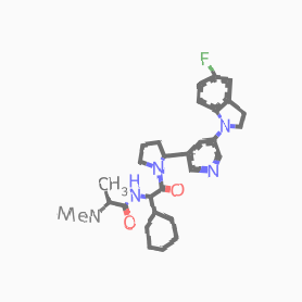 CNC(C)C(=O)NC(C(=O)N1CCCC1c1cncc(N2CCc3cc(F)ccc32)c1)C1CCCCC1